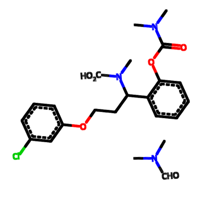 CN(C)C(=O)Oc1ccccc1C(CCOc1cccc(Cl)c1)N(C)C(=O)O.CN(C)C=O